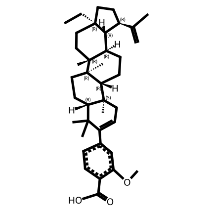 C=C(C)[C@@H]1CC[C@]2(CC)CC[C@]3(C)[C@H](CC[C@@H]4[C@@]5(C)CC=C(c6ccc(C(=O)O)c(OC)c6)C(C)(C)[C@@H]5CC[C@]43C)[C@@H]12